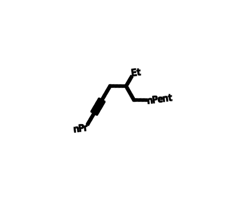 [CH2]CCC#CCC(CC)CCCCC[CH2]